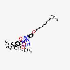 CCCCCCCCCCCCOc1ccc2[nH]c(NC(=O)c3ccc(C(C)(C)C)cc3C(=O)OCC)nc2c1